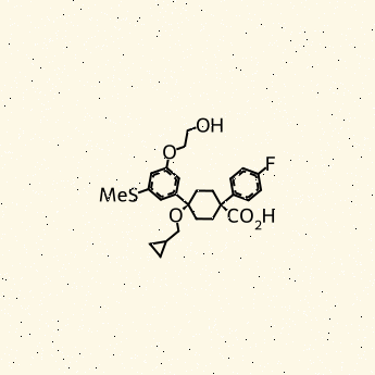 CSc1cc(OCCO)cc([C@]2(OCC3CC3)CC[C@](C(=O)O)(c3ccc(F)cc3)CC2)c1